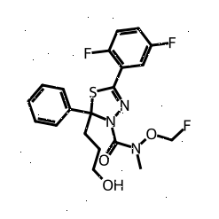 CN(OCF)C(=O)N1N=C(c2cc(F)ccc2F)SC1(CCCO)c1ccccc1